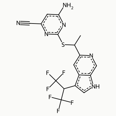 CC(Sc1nc(N)cc(C#N)n1)c1cc2c(C(C(F)(F)F)C(F)(F)F)c[nH]c2cn1